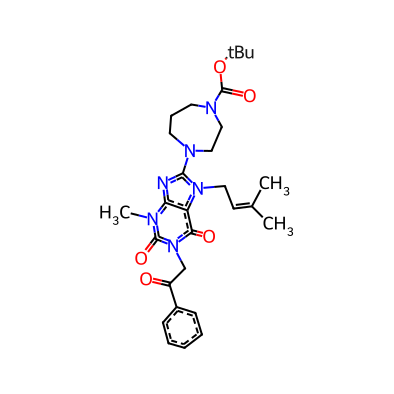 CC(C)=CCn1c(N2CCCN(C(=O)OC(C)(C)C)CC2)nc2c1c(=O)n(CC(=O)c1ccccc1)c(=O)n2C